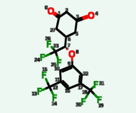 O=C1CC(=O)CC([C@H](Oc2cc(C(F)(F)F)cc(C(F)(F)F)c2)C(F)(F)F)C1